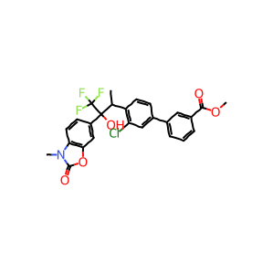 COC(=O)c1cccc(-c2ccc(C(C)C(O)(c3ccc4c(c3)oc(=O)n4C)C(F)(F)F)c(Cl)c2)c1